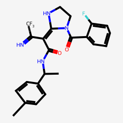 Cc1ccc(C(C)NC(=O)/C(C(=N)C(F)(F)F)=C2/NCCN2C(=O)c2ccccc2F)cc1